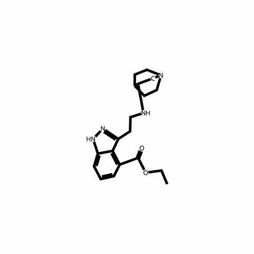 CCOC(=O)c1cccc2[nH]nc(CCNC3CN4CCC3CC4)c12